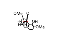 COc1ccc2c(c1O)[C@@]13CCN(C)[C@@H](C2)[C@H]1CC(OC)C(=O)C3